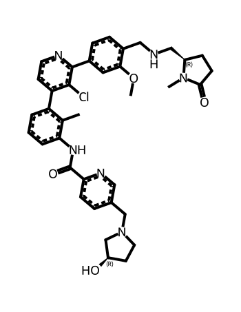 COc1cc(-c2nccc(-c3cccc(NC(=O)c4ccc(CN5CC[C@@H](O)C5)cn4)c3C)c2Cl)ccc1CNC[C@H]1CCC(=O)N1C